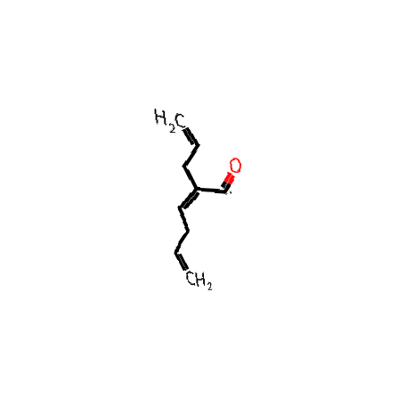 C=CCC=C([C]=O)CC=C